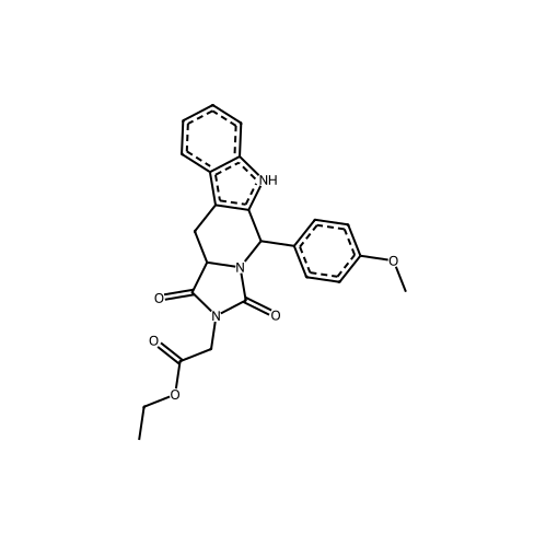 CCOC(=O)CN1C(=O)C2Cc3c([nH]c4ccccc34)C(c3ccc(OC)cc3)N2C1=O